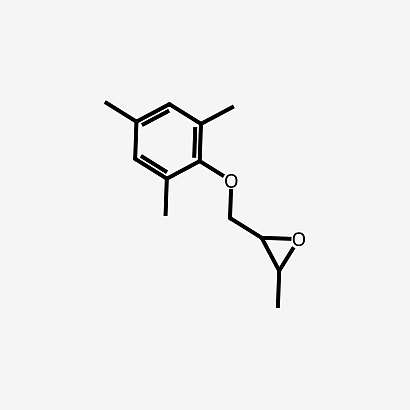 Cc1cc(C)c(OCC2OC2C)c(C)c1